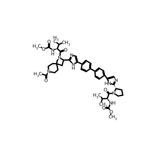 COC(=O)N[C@H](C(=O)N1CC2(CCN(C(C)=O)CC2)CC1c1ncc(-c2ccc(-c3ccc(-c4cnc([C@@H]5CCCN5C(=O)[C@@H](NC(=O)OC)C(C)C)[nH]4)cc3)cc2)[nH]1)C(C)C